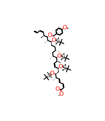 C=C/C=C\[C@H](C)[C@H](OCc1ccc(OC)cc1)[C@@H](C)[C@H](CC[C@H](C)C[C@@H](C)[C@@H](O[Si](C)(C)C(C)(C)C)[C@@H](C)/C=C\[C@H](C[C@H](O[Si](C)(C)C(C)(C)C)[C@@H](C)/C=C/C=C\C(=O)OC)O[Si](C)(C)C(C)(C)C)O[Si](C)(C)C(C)(C)C